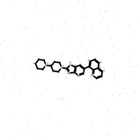 c1cnc2c(-c3cnc4nc(N5CCC(N6CCCCC6)CC5)sc4c3)cccc2c1